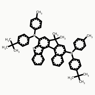 Cc1ccc(N(c2ccc(C(C)(C)C)cc2)c2cc3c(c4ccccc24)-c2c(cc(N(c4ccc(C)cc4)c4ccc(C(C)(C)C)cc4)c4sc5ccccc5c24)C3(C)C)cc1